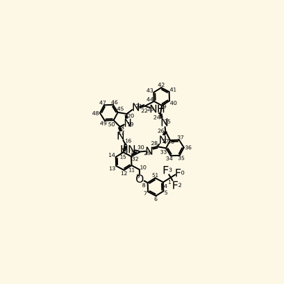 FC(F)(F)c1cccc(OCc2cccc3c4nc5nc(nc6[nH]c(nc7nc(nc([nH]4)c23)-c2ccccc2-7)c2ccccc62)-c2ccccc2-5)c1